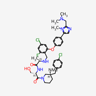 CN[C@@]1(Cc2ccc(Cl)cc2)CCCN(C(=O)[C@H](CO)NC(=O)[C@H](C)NCc2c(F)cc(Cl)cc2Oc2ccc(-c3cnc(CN(C)C)n3C)cc2)C1